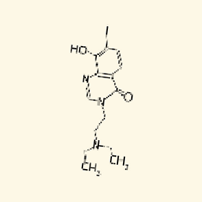 CCN(CC)CCn1cnc2c(O)c(I)ccc2c1=O